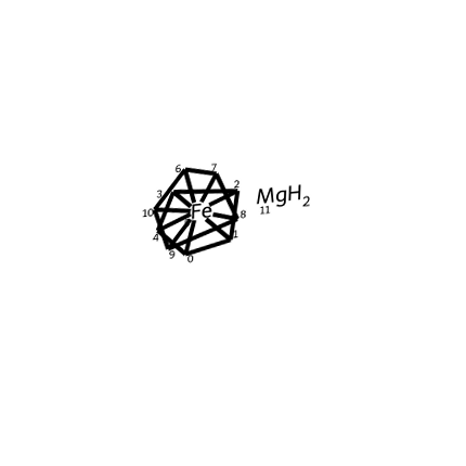 [CH]12[CH]3[CH]4[CH]5[CH]1[Fe]23451678[CH]2[CH]1[CH]6[CH]7[CH]28.[MgH2]